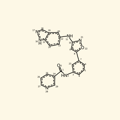 O=C(Nc1cccc(-c2cc(Nc3ccc4[nH]ncc4c3)no2)c1)c1cccnc1